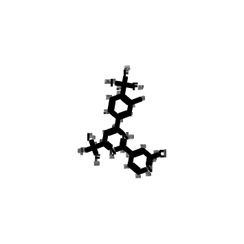 Cc1cc(-c2cc(C(F)(F)F)nc(-c3ccnc(Cl)c3)n2)ccc1C(F)(F)F